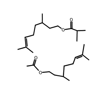 CC(=O)OCCC(C)CCC=C(C)C.CC(C)=CCCC(C)CCOC(=O)C(C)C